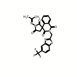 CC(C)=NN1C(=O)CC2(C(=O)N(Cc3nc4cc(C(F)(F)F)ccc4s3)C(=O)c3ccccc32)C1=O